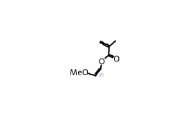 C=C(C)C(=O)O/C=C\OC